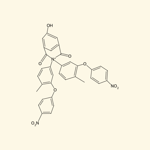 Cc1ccc([N+]2(c3ccc(C)c(Oc4ccc([N+](=O)[O-])cc4)c3)C(=O)c3cc(O)cc(c3)C2=O)cc1Oc1ccc([N+](=O)[O-])cc1